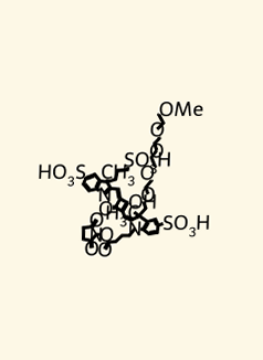 COCCOCCOCCOCCOCCC1(C)/C(=C\C2=C(O)C(=C/C3=Nc4ccc(S(=O)(=O)O)cc4C3(C)CCCS(=O)(=O)O)/C2=O)N(CCCC(=O)ON2C(=O)CCC2=O)c2ccc(S(=O)(=O)O)cc21